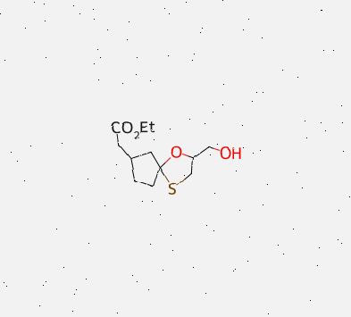 CCOC(=O)CC1CCC2(C1)OC(CO)CS2